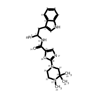 CCCC(Cc1c[nH]c2ccccc12)NC(=O)c1cnc(N2CCN(C)C(C)(C)C2)o1